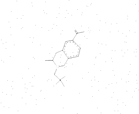 COC(=O)c1ccc2c(c1)CC(C)N(CC(C)(F)F)C2